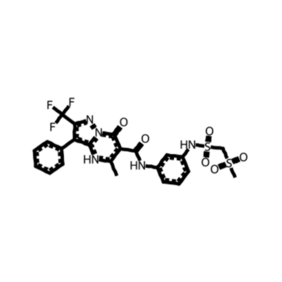 Cc1[nH]c2c(-c3ccccc3)c(C(F)(F)F)nn2c(=O)c1C(=O)Nc1cccc(NS(=O)(=O)CS(C)(=O)=O)c1